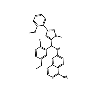 CCc1ccc(F)c(C(Nc2ccc3c(N)nccc3c2)c2nc(-c3ccccc3OC)nn2C)c1